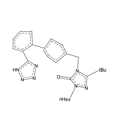 CCCCCCn1nc(C(C)(C)C)n(Cc2ccc(-c3ccccc3-c3nnn[nH]3)cc2)c1=O